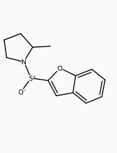 CC1CCCN1[S+]([O-])c1cc2ccccc2o1